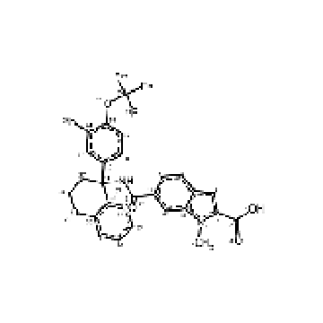 Cn1c(C(=O)O)cc2ccc(C(=O)NC3(c4ccc(OC(F)(F)F)c(F)c4)CCOc4cccnc43)cc21